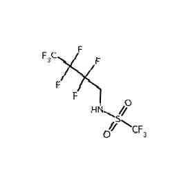 O=S(=O)(NCC(F)(F)C(F)(F)C(F)(F)F)C(F)(F)F